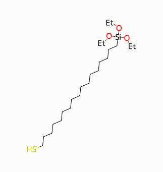 CCO[Si](CCCCCCCCCCCCCCCCCS)(OCC)OCC